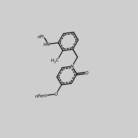 CCCCCOc1ccn(Cc2cccc(NCCC)c2C)c(=O)c1